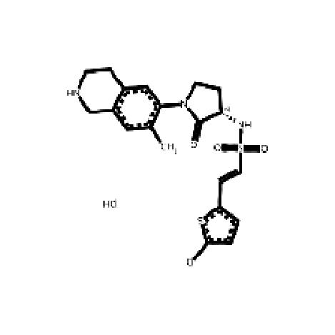 Cc1cc2c(cc1N1CC[C@H](NS(=O)(=O)C=Cc3ccc(Cl)s3)C1=O)CCNC2.Cl